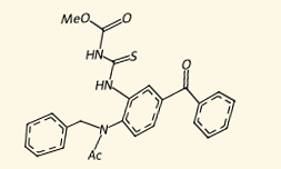 COC(=O)NC(=S)Nc1cc(C(=O)c2ccccc2)ccc1N(Cc1ccccc1)C(C)=O